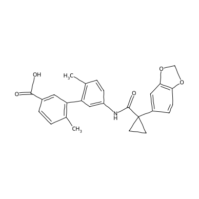 Cc1ccc(NC(=O)C2(c3ccc4c(c3)OCO4)CC2)cc1-c1cc(C(=O)O)ccc1C